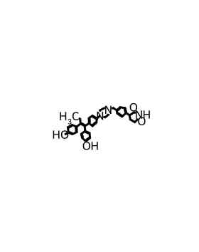 CCC(=C(c1ccc(O)cc1)c1ccc(N2CCN(Cc3ccc(C4CCC(=O)NC4=O)cc3)CC2)cc1)c1ccc(O)cc1